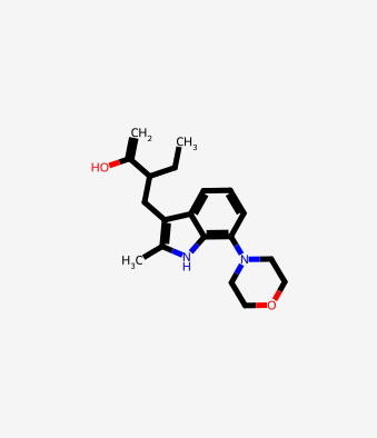 C=C(O)C(CC)Cc1c(C)[nH]c2c(N3CCOCC3)cccc12